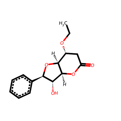 CCO[C@@H]1CC(=O)O[C@H]2[C@H](O)[C@@H](c3ccccc3)O[C@H]21